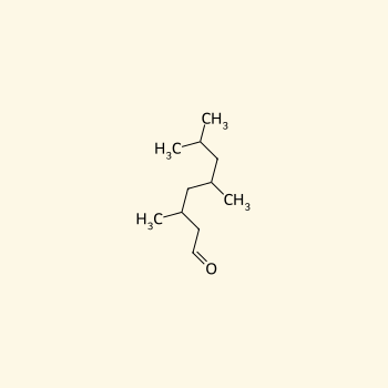 CC(C)CC(C)CC(C)CC=O